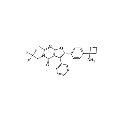 Cc1nc2oc(-c3ccc(C4(N)CCC4)cc3)c(-c3ccccc3)c2c(=O)n1CC(F)(F)F